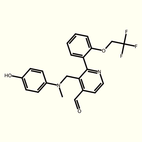 CN(Cc1c(C=O)ccnc1-c1ccccc1OCC(F)(F)F)c1ccc(O)cc1